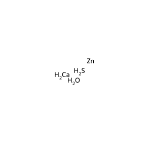 O.S.[CaH2].[Zn]